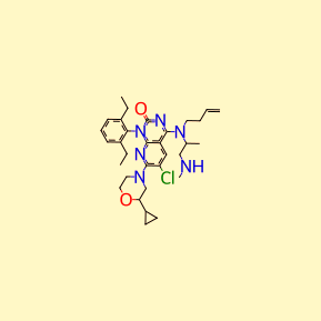 C=CCCN(c1nc(=O)n(-c2c(CC)cccc2CC)c2nc(N3CCOC(C4CC4)C3)c(Cl)cc12)C(C)CNC